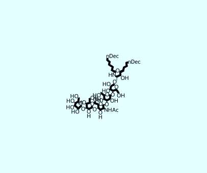 CCCCCCCCCCCCC/C=C/[C@@H](O)[C@H](CO[C@@H]1OC(CO)[C@@H](O[C@@H]2OC(CO)[C@H](O)[C@H](O[C@@H]3OC(CO)[C@@H](O[C@@H]4OC(CO)[C@H](O)[C@H](O[C@H]5OC(CO)[C@H](O)[C@H](O)C5O)C4O)[C@H](O)C3NC(C)=O)C2O)[C@H](O)C1O)NC(=O)CCCCCCCCCCCCCCC